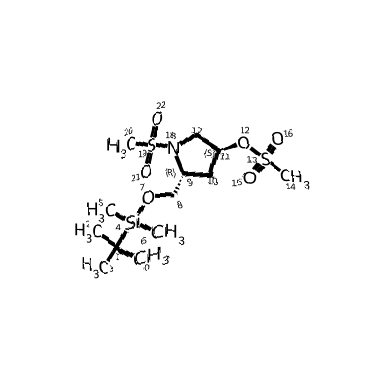 CC(C)(C)[Si](C)(C)OC[C@H]1C[C@H](OS(C)(=O)=O)CN1S(C)(=O)=O